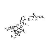 CCNC(=O)N1CCN(Cc2cccc3cc(C(=O)Nc4cc(C(C)(C)C)cc(NS(C)(=O)=O)c4OC)n(C)c23)CC1